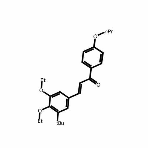 CCCOc1ccc(C(=O)C=Cc2cc(OCC)c(OCC)c(C(C)(C)C)c2)cc1